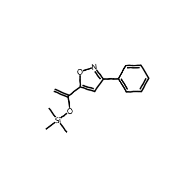 C=C(O[Si](C)(C)C)c1cc(-c2ccccc2)no1